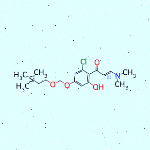 CN(C)/C=C/C(=O)c1c(O)cc(OCOCC[Si](C)(C)C)cc1Cl